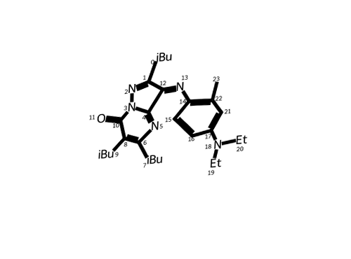 CCC(C)C1=Nn2c(nc(C(C)CC)c(C(C)CC)c2=O)C1=Nc1ccc(N(CC)CC)cc1C